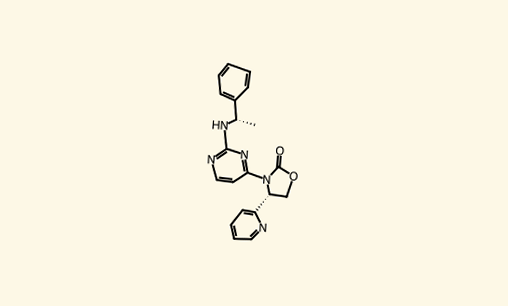 C[C@H](Nc1nccc(N2C(=O)OC[C@@H]2c2ccccn2)n1)c1ccccc1